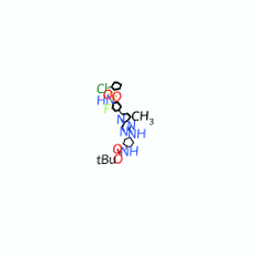 Cc1cc(-c2ccc(NS(=O)(=O)c3ccccc3Cl)c(F)c2)nc2cnc(N[C@H]3CC[C@H](NC(=O)OC(C)(C)C)CC3)nc12